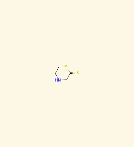 S=C1CNCCS1